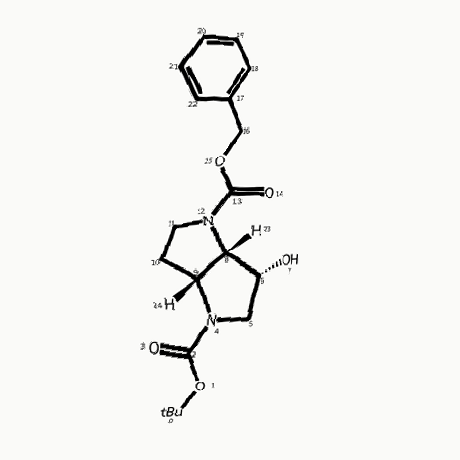 CC(C)(C)OC(=O)N1C[C@@H](O)[C@@H]2[C@H]1CCN2C(=O)OCc1ccccc1